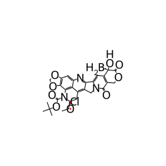 B[C@@]1(O)C(=O)OCc2c1cc1n(c2=O)Cc2c-1nc1cc3c(c(N(C(=O)Cl)C(=O)OC(C)(C)C)c1c2CCCC)OCO3